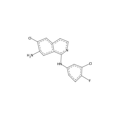 Nc1cc2c(Nc3ccc(F)c(Cl)c3)nccc2cc1Cl